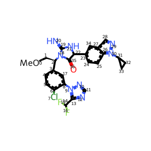 COC[C@H](c1ccc(Cl)c(-n2ncnc2C(F)F)c1)N1C(=N)NC(c2ccc3c(cnn3C3CC3)c2)C1=O